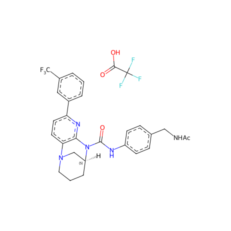 CC(=O)NCc1ccc(NC(=O)N2c3nc(-c4cccc(C(F)(F)F)c4)ccc3N3CCC[C@H]2C3)cc1.O=C(O)C(F)(F)F